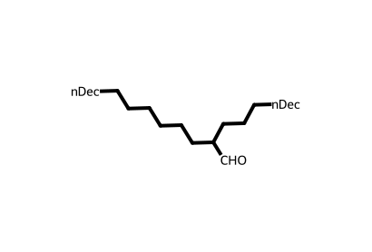 CCCCCCCCCCCCCCCCC(C=O)CCCCCCCCCCCCC